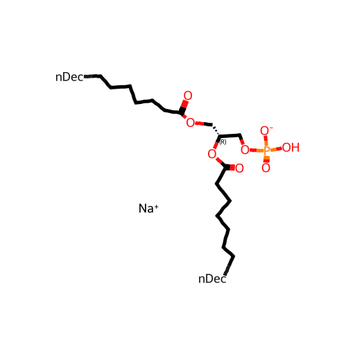 CCCCCCCCCCCCCCCCC(=O)OC[C@H](COP(=O)([O-])O)OC(=O)CCCCCCCCCCCCCCCC.[Na+]